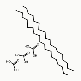 CCCCCCCCCCCCCCCCCC.CCCCCCCCCCCCCCCCCC.O=C(O)O.O=C(O)O.O=C(O)O